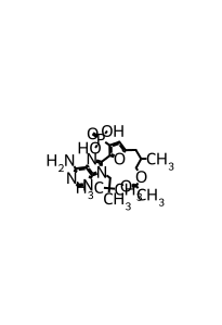 CC(=O)OCC(C)Cc1cc(P(=O)(O)O)c(-c2nc3c(N)ncnc3n2CC(C)(C)C)o1